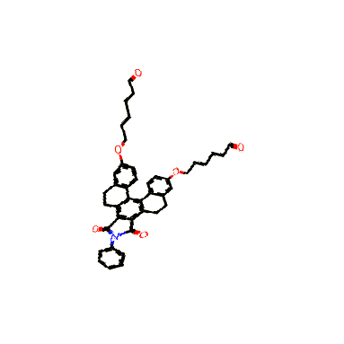 O=CCCCCCOc1ccc2c(c1)CCc1c3c(c4c(c1-2)-c1ccc(OCCCCCC=O)cc1CC4)C(=O)N(c1ccccc1)C3=O